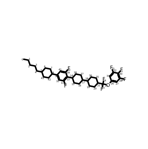 CCCCCC1CCC(c2cc(F)c(C3CCC(C4CCC(C(F)(F)Oc5cc(F)c(F)c(F)c5)CC4)CC3)c(F)c2)CC1